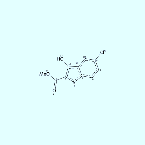 COC(=O)c1sc2ccc(Cl)cc2c1O